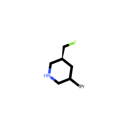 CC(C)C1CNC[C@@H](CF)C1